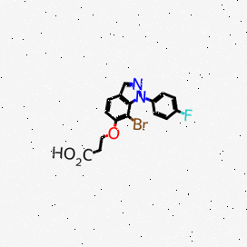 O=C(O)CCOc1ccc2cnn(-c3ccc(F)cc3)c2c1Br